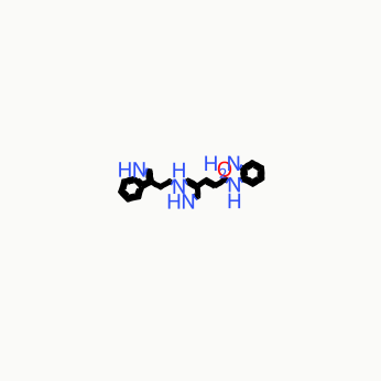 N=CC(=C\NCCc1c[nH]c2ccccc12)/C=C/C(=O)Nc1ccccc1N